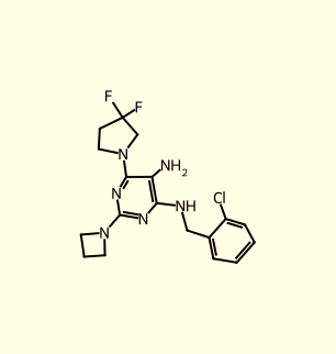 Nc1c(NCc2ccccc2Cl)nc(N2CCC2)nc1N1CCC(F)(F)C1